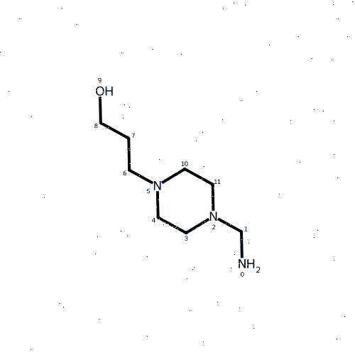 NCN1CCN(CCCO)CC1